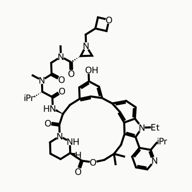 CCn1c(-c2cccnc2C(C)C)c2c3cc(ccc31)-c1cc(O)cc(c1)C[C@H](NC(=O)[C@H](C(C)C)N(C)C(=O)CN(C)C(=O)[C@H]1CN1CC1COC1)C(=O)N1CCC[C@H](N1)C(=O)OCC(C)(C)C2